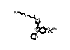 C[C@H](CCOCCCO)n1cc(-c2nn(C3CCCCO3)c3ccc(O[Si](C)(C)C(C)(C)C)cc23)cn1